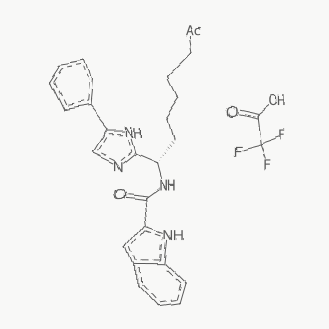 CC(=O)CCCCC[C@H](NC(=O)c1cc2ccccc2[nH]1)c1ncc(-c2ccccc2)[nH]1.O=C(O)C(F)(F)F